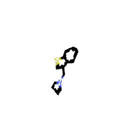 c1ccc2c(Cn3cccc3)csc2c1